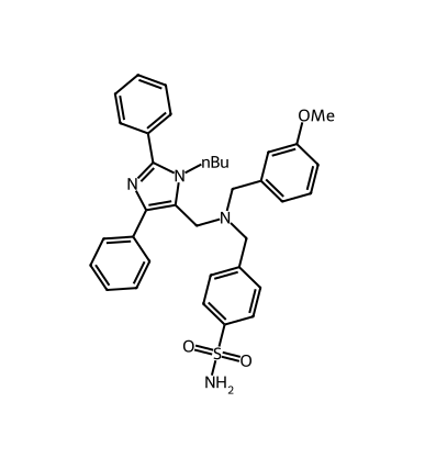 CCCCn1c(-c2ccccc2)nc(-c2ccccc2)c1CN(Cc1ccc(S(N)(=O)=O)cc1)Cc1cccc(OC)c1